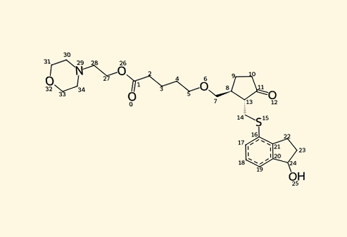 O=C(CCCCOC[C@H]1CCC(=O)[C@@H]1CSc1cccc2c1CCC2O)OCCN1CCOCC1